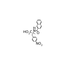 C[C@@](Cc1ccc([N+](=O)[O-])cc1)(NC(=O)c1ccc2ccccc2c1)C(=O)O